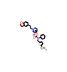 Cc1ccc(CN(C(=O)O[C@H]2C[N+]3(CCc4ccc5c(c4)CCO5)CCC2CC3)c2ccccc2)s1